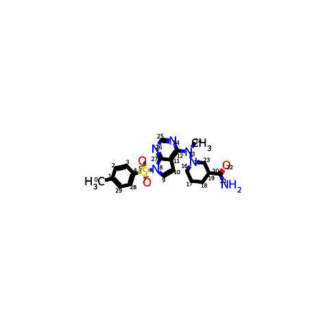 Cc1ccc(S(=O)(=O)n2ccc3c(N(C)N4CCCC(C(N)=O)C4)ncnc32)cc1